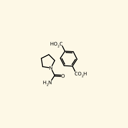 NC(=O)N1CCCC1.O=C(O)c1ccc(C(=O)O)cc1